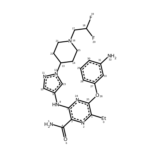 CCc1nc(C(N)=O)c(Nc2cnn(C3CCN(CC(F)F)CC3)c2)nc1Oc1cccc(N)c1